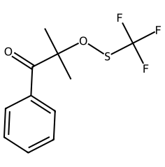 CC(C)(OSC(F)(F)F)C(=O)c1ccccc1